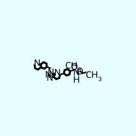 CCCONC(=O)c1ccc(-c2ccc3nnn(Cc4ccc5ncccc5c4)c3n2)cc1C